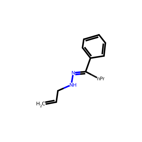 C=CCN/N=C(\CCC)c1ccccc1